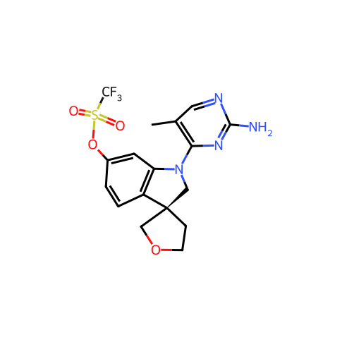 Cc1cnc(N)nc1N1C[C@]2(CCOC2)c2ccc(OS(=O)(=O)C(F)(F)F)cc21